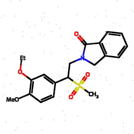 CCOc1cc(C(CN2Cc3ccc[c]c3C2=O)S(C)(=O)=O)ccc1OC